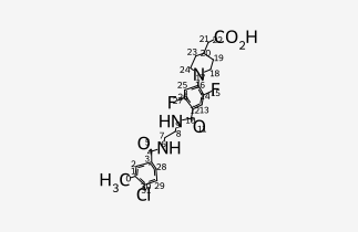 Cc1cc(C(=O)NCCNC(=O)c2cc(F)c(N3CCC(CC(=O)O)CC3)cc2F)ccc1Cl